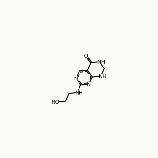 O=C1NCNc2nc(NCCO)ncc21